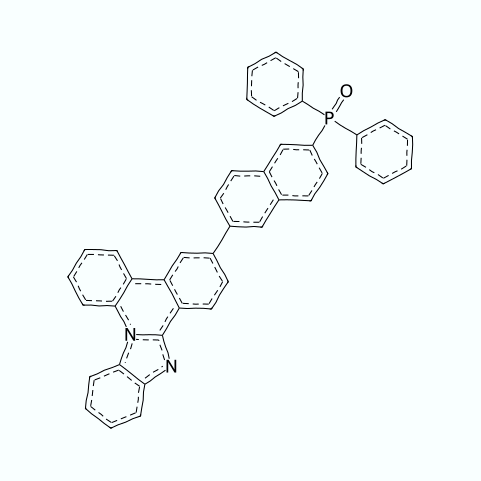 O=P(c1ccccc1)(c1ccccc1)c1ccc2cc(-c3ccc4c(c3)c3ccccc3n3c5ccccc5nc43)ccc2c1